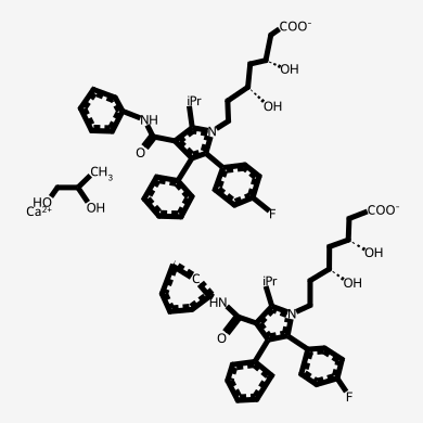 CC(C)c1c(C(=O)Nc2ccccc2)c(-c2ccccc2)c(-c2ccc(F)cc2)n1CC[C@@H](O)C[C@@H](O)CC(=O)[O-].CC(C)c1c(C(=O)Nc2ccccc2)c(-c2ccccc2)c(-c2ccc(F)cc2)n1CC[C@@H](O)C[C@@H](O)CC(=O)[O-].CC(O)CO.[Ca+2]